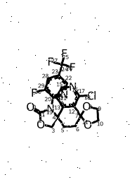 O=C1OC[C@@]2(CCC3(OCCO3)c3c2ccnc3Cl)N1c1ncc(C(F)(F)F)cc1F